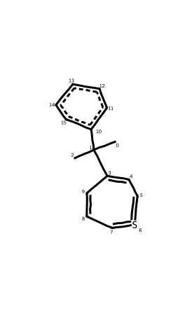 CC(C)(C1=CC=S=CC=C1)c1ccccc1